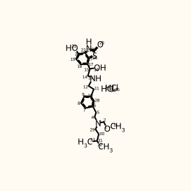 COCN(CCc1cccc(CCNCC(O)c2ccc(O)c3[nH]c(=O)sc23)c1)CCC(C)C.Cl.Cl